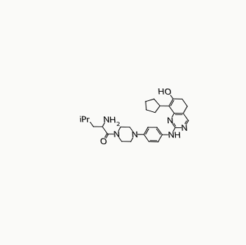 CC(C)CC(N)C(=O)N1CCN(c2ccc(Nc3ncc4c(n3)C(C3CCCC3)=C(O)CC4)cc2)CC1